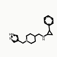 c1ccc(C2CC2NCC2CCN(Cc3cn[nH]c3)CC2)cc1